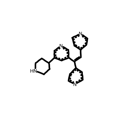 C(=C(c1ccncc1)c1cncc(C2CCNCC2)c1)c1ccncc1